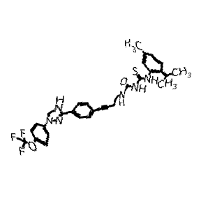 Cc1ccc(C(C)C)c(NC(=S)NC(=O)NCCC#Cc2ccc(C3=NN(c4ccc(OC(F)(F)F)cc4)CN3)cc2)c1